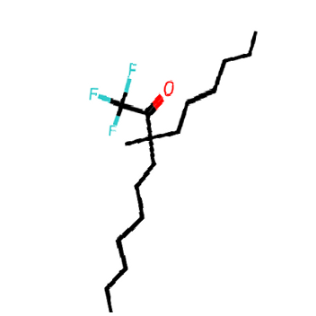 CCCCCCCC(C)(CCCCCC)C(=O)C(F)(F)F